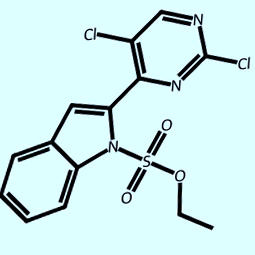 CCOS(=O)(=O)n1c(-c2nc(Cl)ncc2Cl)cc2ccccc21